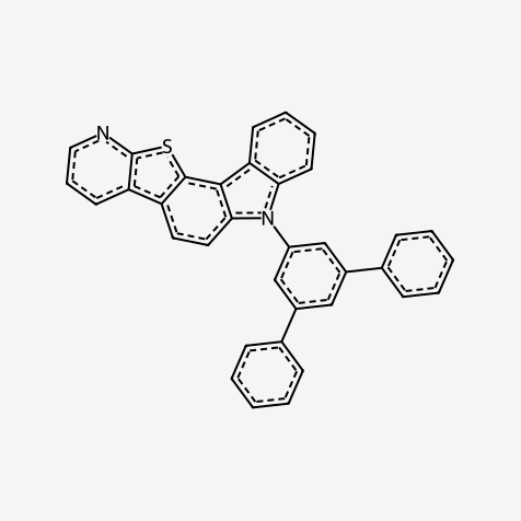 c1ccc(-c2cc(-c3ccccc3)cc(-n3c4ccccc4c4c5sc6ncccc6c5ccc43)c2)cc1